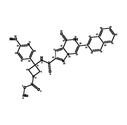 CCCCOC(=O)N1CC(NC(=O)c2cc3c(=O)[nH]c(-c4ccc5ccccc5c4)cn3n2)(c2ccc(OC)nc2)C1